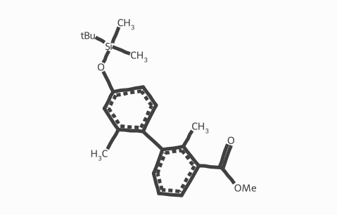 COC(=O)c1cccc(-c2ccc(O[Si](C)(C)C(C)(C)C)cc2C)c1C